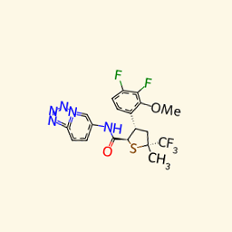 COc1c([C@@H]2C[C@](C)(C(F)(F)F)S[C@H]2C(=O)Nc2ccc3nnnn3c2)ccc(F)c1F